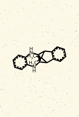 CC1(C)C2C3=C(Nc4ccccc4N3)C1c1ccccc12